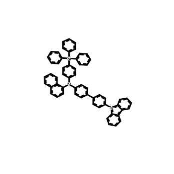 c1ccc([Si](c2ccccc2)(c2ccccc2)c2ccc(N(c3ccc(-c4ccc(-n5c6ccccc6c6ccccc65)cc4)cc3)c3cccc4ccccc34)cc2)cc1